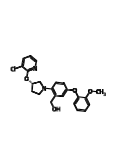 COc1ccccc1Oc1ccc(N2CC[C@H](Oc3ncccc3Cl)C2)c(CO)c1